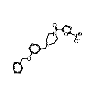 O=C(c1ccc([N+](=O)[O-])o1)N1CCN(Cc2cccc(OCc3ccccc3)c2)CC1